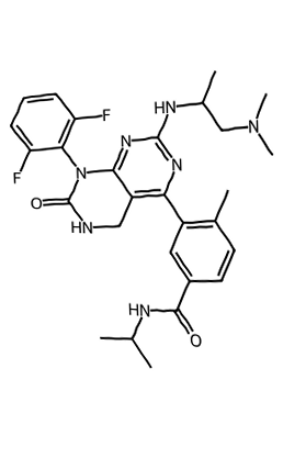 Cc1ccc(C(=O)NC(C)C)cc1-c1nc(NC(C)CN(C)C)nc2c1CNC(=O)N2c1c(F)cccc1F